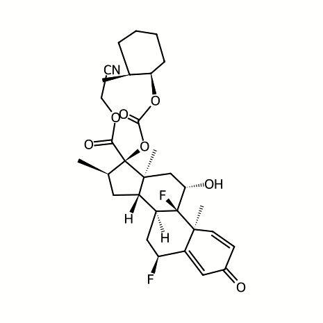 C[C@@H]1C[C@H]2[C@@H]3C[C@H](F)C4=CC(=O)C=C[C@]4(C)[C@@]3(F)[C@@H](O)C[C@]2(C)[C@@]1(OC(=O)O[C@@H]1CCCC[C@@H]1C)C(=O)OCC#N